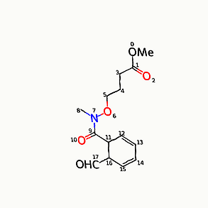 COC(=O)CCCON(C)C(=O)C1C=CC=CC1C=O